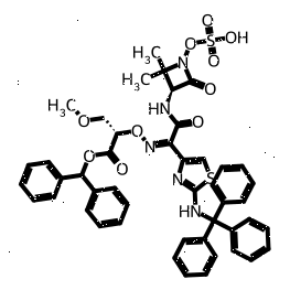 COC[C@H](O/N=C(\C(=O)N[C@@H]1C(=O)N(OS(=O)(=O)O)C1(C)C)c1csc(NC(c2ccccc2)(c2ccccc2)c2ccccc2)n1)C(=O)OC(c1ccccc1)c1ccccc1